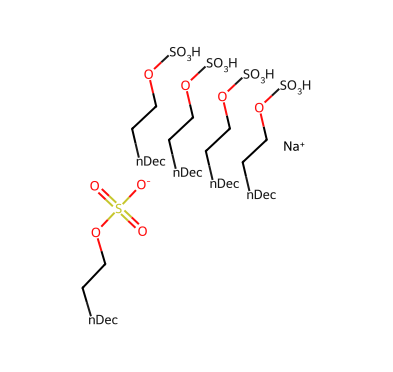 CCCCCCCCCCCCOS(=O)(=O)O.CCCCCCCCCCCCOS(=O)(=O)O.CCCCCCCCCCCCOS(=O)(=O)O.CCCCCCCCCCCCOS(=O)(=O)O.CCCCCCCCCCCCOS(=O)(=O)[O-].[Na+]